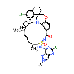 CO[C@H]1/C=C/C[C@H](C)CS(=O)(Nc2nc(Cl)nc3cn(C)nc23)=NC(=O)c2ccc3c(c2)N(C[C@@H]2CC[C@H]21)C[C@@]1(CCCc2cc(Cl)ccc21)CO3